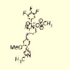 COc1cc(/C=C2\CCCN3C2=NOC3(COS(C)(=O)=O)c2cc(F)c(F)c(F)c2)ccc1-n1cnc(C)c1